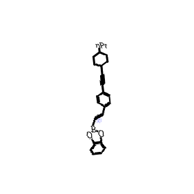 CCCC1CCC(C#Cc2ccc(/C=C/B3Oc4ccccc4O3)cc2)CC1